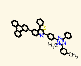 CC1C=CC=C(C2N=C(c3ccccc3)N=C(c3ccc(-c4nc5ccc(-c6ccc7c8ccccc8c8ccccc8c7c6)cc5c5c4sc4ccccc45)cc3)N2C)C1